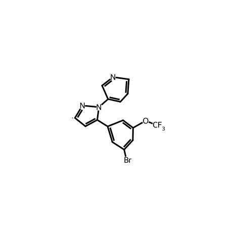 FC(F)(F)Oc1cc(Br)cc(-c2c[c]nn2-c2cccnc2)c1